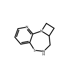 c1cnc2c(c1)SNCC1CCN21